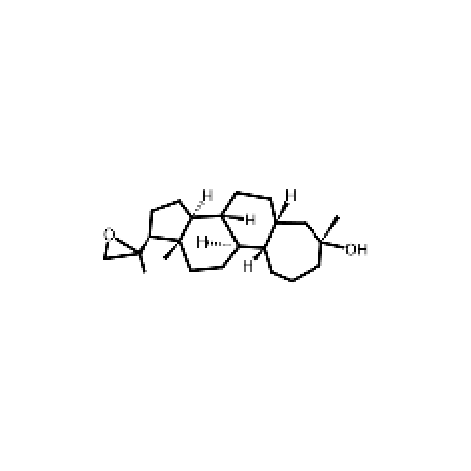 CC1([C@H]2CC[C@H]3[C@@H]4CC[C@@H]5C[C@](C)(O)CCC[C@@H]5[C@H]4CC[C@]23C)CO1